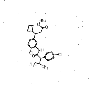 CC(C(C(=O)Nc1cc(C(CC(=O)OC(C)(C)C)C2CCC2)ccc1Cl)c1ccc(Cl)cc1)C(F)(F)F